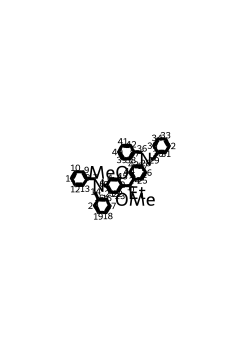 CCC(c1ccc(N(Cc2ccccc2)Cc2ccccc2)cc1OC)c1ccc(N(Cc2ccccc2)Cc2ccccc2)cc1OC